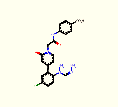 N/N=C\N(N)c1ccc(Cl)cc1-c1ccn(CC(=O)Nc2ccc(C(=O)O)cc2)c(=O)c1